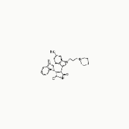 O=C1NC(=O)C(c2cn(CCCN3CCCCC3)c3cc(O)ccc23)=C1c1c[nH]c2ccccc12